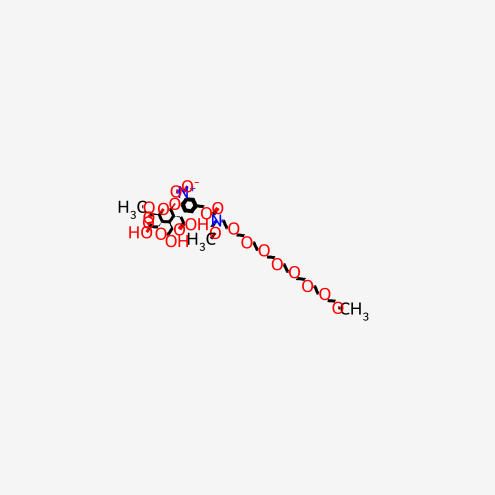 COCCOCCOCCOCCOCCOCCOCCOCCN(COC)C(=O)OCc1ccc(O[C@@H]2O[C@H](C(=O)OC)[C@@H](CC(=O)O)[C@H](CC(=O)O)[C@H]2CC(=O)O)c([N+](=O)[O-])c1